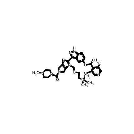 CC(Oc1ccc2[nH]nc(-c3nc4c(n3COCC[Si](C)(C)C)CN(C(=O)N3CCN(C)CC3)C4)c2c1)c1c(Cl)cncc1Cl